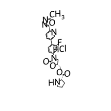 Cc1nnc(-c2ccc(-c3ccc(N4C[C@H](COC(=O)[C@@H]5CCCN5)OC4=O)cc3F)cn2)o1.Cl